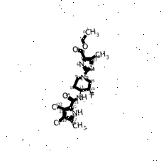 CCOC(=O)c1nc(N2CC[C@@H](NC(=O)c3[nH]c(C)c(Cl)c3Cl)[C@@H](F)C2)sc1C